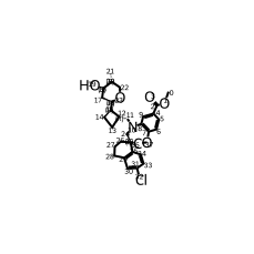 COC(=O)c1ccc2c(c1)N(C[C@@H]1CC[C@H]1[C@H]1C[C@H](O)[C@H](C)CO1)C[C@@]1(CCCc3cc(Cl)ccc31)CO2